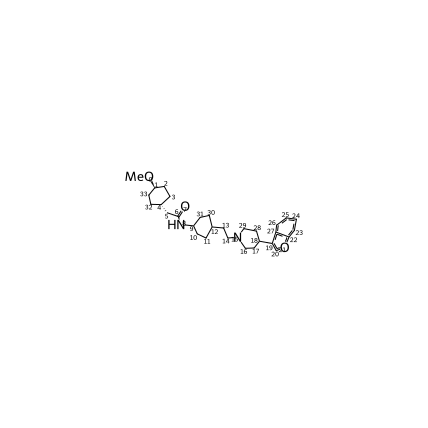 CO[C@H]1CC[C@H](CC(=O)NC2CCC(CCN3CCC(c4coc5ccccc45)CC3)CC2)CC1